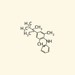 Cc1cc(S(C)(C)C(C)C)cc(C)c1Nc1ccccc1